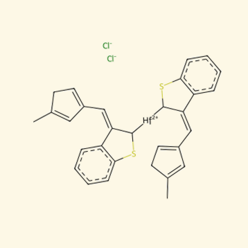 CC1=CC(C=C2c3ccccc3S[CH]2[Hf+2][CH]2Sc3ccccc3C2=CC2=CCC(C)=C2)=CC1.[Cl-].[Cl-]